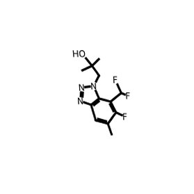 Cc1cc2nnn(CC(C)(C)O)c2c(C(F)F)c1F